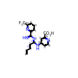 C=C/C=C/C(=N\C(=N)c1cccc(C(F)(F)F)n1)Nc1ccnc(C(=O)O)c1